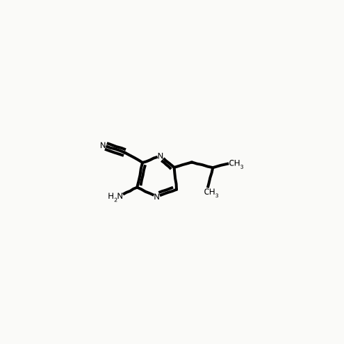 CC(C)Cc1cnc(N)c(C#N)n1